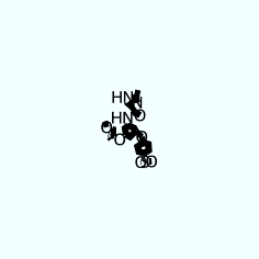 COC[C@H](C)Oc1cc(NC(=O)c2c[nH]c(C)n2)cc(Oc2ccc(S(C)(=O)=O)cc2)c1